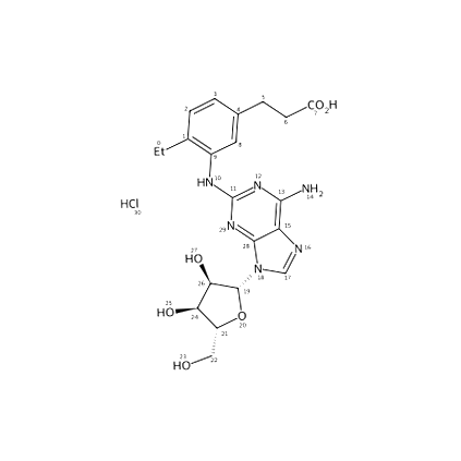 CCc1ccc(CCC(=O)O)cc1Nc1nc(N)c2ncn([C@@H]3O[C@H](CO)[C@@H](O)[C@H]3O)c2n1.Cl